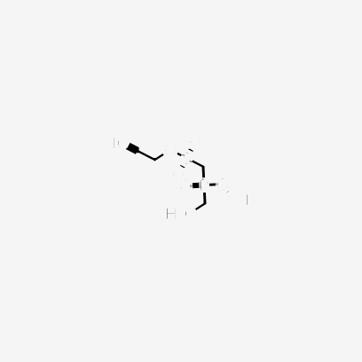 C#CCOS(=O)(=O)CP(=O)(CC)OC